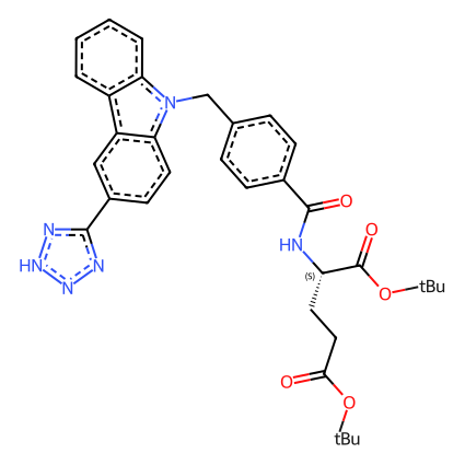 CC(C)(C)OC(=O)CC[C@H](NC(=O)c1ccc(Cn2c3ccccc3c3cc(-c4nn[nH]n4)ccc32)cc1)C(=O)OC(C)(C)C